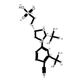 N#Cc1ccc(N2C[C@H](CCS(=O)(=O)O)O[C@@H]2C(F)(F)F)cc1C(F)(F)F